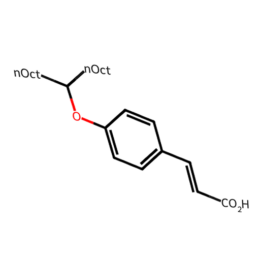 CCCCCCCCC(CCCCCCCC)Oc1ccc(C=CC(=O)O)cc1